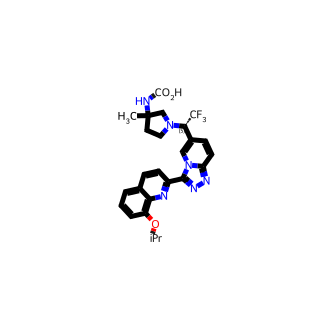 CC(C)Oc1cccc2ccc(-c3nnc4ccc([C@H](N5CCC(C)(NC(=O)O)C5)C(F)(F)F)cn34)nc12